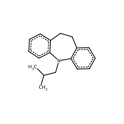 CC(C)CN1c2ccccc2CCc2ccccc21